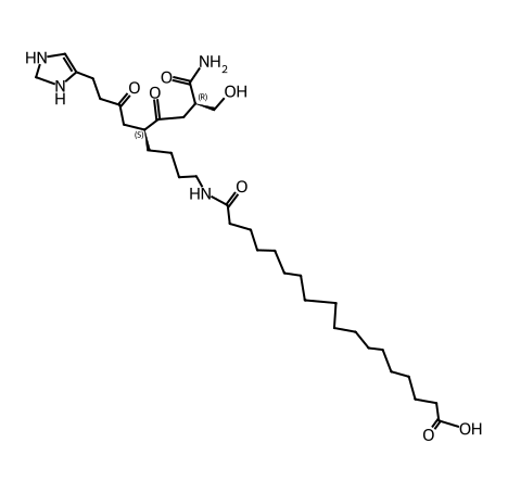 NC(=O)[C@@H](CO)CC(=O)[C@@H](CCCCNC(=O)CCCCCCCCCCCCCCCCC(=O)O)CC(=O)CCC1=CNCN1